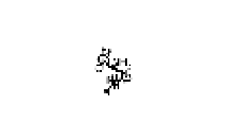 N[C@@H](CCN1CCC[C@H]1c1nc(C2CC2)no1)CN1CC(F)(F)CCC1=O